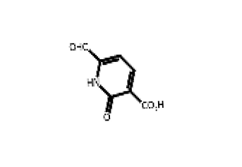 O=Cc1ccc(C(=O)O)c(=O)[nH]1